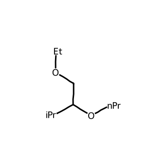 CCCOC(COCC)C(C)C